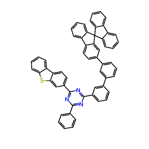 c1ccc(-c2nc(-c3cccc(-c4cccc(-c5ccc6c(c5)C5(c7ccccc7-c7ccccc75)c5ccccc5-6)c4)c3)nc(-c3ccc4c(c3)sc3ccccc34)n2)cc1